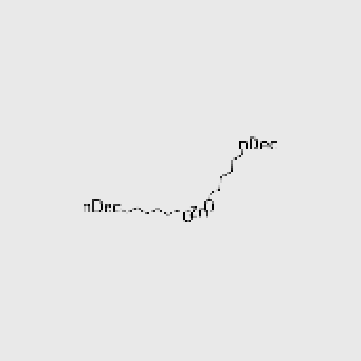 CCCCCCCCCCCCCCCC[O][Zn][O]CCCCCCCCCCCCCCCC